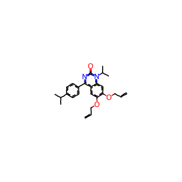 C=CCOc1cc2c(-c3ccc(C(C)C)cc3)nc(=O)n(C(C)C)c2cc1OCC=C